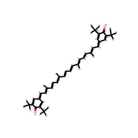 CC(/C=C/C=C(C)/C=C/C=C/C(C)=C/C=C/C(C)=C/C=C1C=C(C(C)(C)C)C(=O)C(C(C)(C)C)=C1)=C\C=C1C=C(C(C)(C)C)C(=O)C(C(C)(C)C)=C1